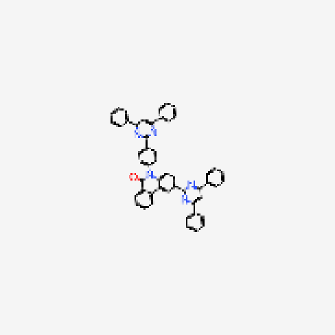 O=c1c2ccccc2c2cc(-c3nc(-c4ccccc4)cc(-c4ccccc4)n3)ccc2n1-c1ccc(-c2nc(-c3ccccc3)cc(-c3ccccc3)n2)cc1